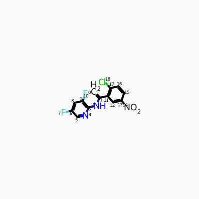 C=C(Nc1ncc(F)cc1F)c1cc([N+](=O)[O-])ccc1Cl